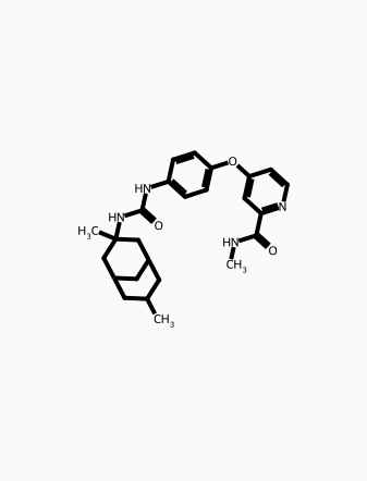 CNC(=O)c1cc(Oc2ccc(NC(=O)NC3(C)CC4CC(C)CC(C4)C3)cc2)ccn1